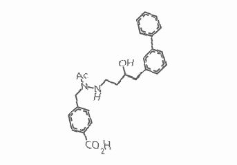 CC(=O)N(Cc1ccc(C(=O)O)cc1)NCCC(O)Cc1cccc(-c2ccccc2)c1